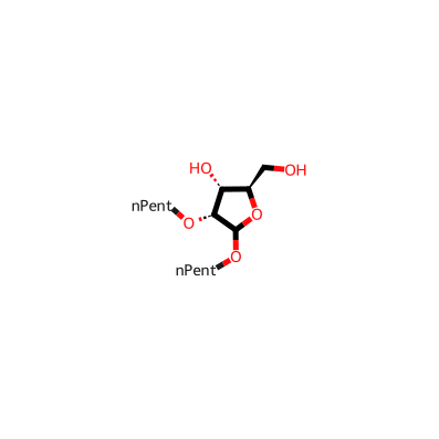 CCCCCOC1O[C@H](CO)[C@@H](O)[C@H]1OCCCCC